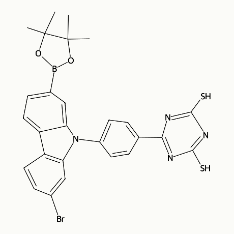 CC1(C)OB(c2ccc3c4ccc(Br)cc4n(-c4ccc(-c5nc(S)nc(S)n5)cc4)c3c2)OC1(C)C